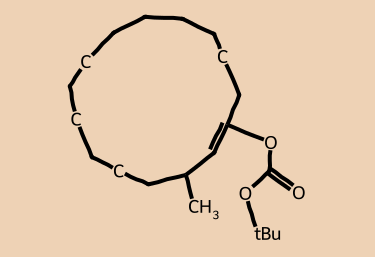 CC1C=C(OC(=O)OC(C)(C)C)CCCCCCCCCCCC1